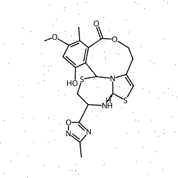 COc1cc(O)c2c(c1C)C(=O)OCCC1=CS[C@@H]3NC(c4nc(C)no4)CSC2N13